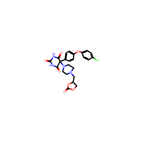 O=C1NC(=O)C(c2ccc(Oc3ccc(Cl)cc3)cc2)(N2CCN(CC3COC(=O)O3)CC2)C(=O)N1